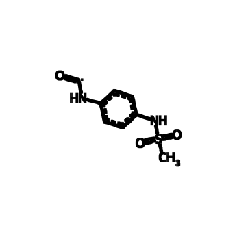 CS(=O)(=O)Nc1ccc(N[C]=O)cc1